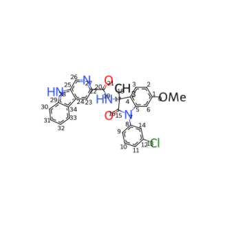 COc1ccc2c(c1)N(c1cccc(Cl)c1)C(=O)C2(C)NC(=O)c1cc2c(cn1)[nH]c1ccccc12